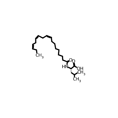 CC/C=C\C/C=C\C/C=C\CCCCCCCC(=O)N[C@@H](CC(C)C)C(=O)O